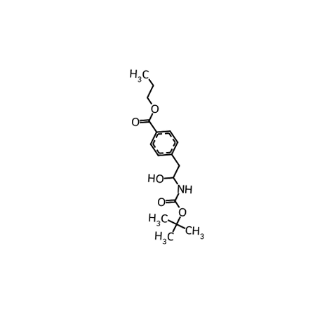 CCCOC(=O)c1ccc(CC(O)NC(=O)OC(C)(C)C)cc1